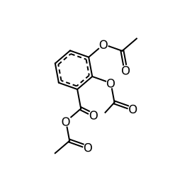 CC(=O)OC(=O)c1cccc(OC(C)=O)c1OC(C)=O